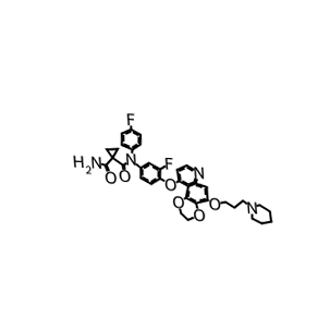 NC(=O)C1(C(=O)N(c2ccc(F)cc2)c2ccc(Oc3ccnc4cc(OCCCN5CCCCC5)c5c(c34)OCCO5)c(F)c2)CC1